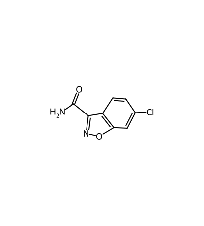 NC(=O)c1noc2cc(Cl)ccc12